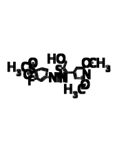 COc1cc(-c2nc(Nc3ccc(S(C)(=O)=O)c(F)c3)sc2CO)cc(OC)n1